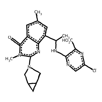 Cc1cc(C(C)Nc2ncc(Cl)nc2C(=O)O)c2nc(N3CC4CC4C3)n(C)c(=O)c2c1